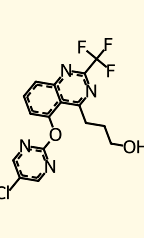 OCCCc1nc(C(F)(F)F)nc2cccc(Oc3ncc(Cl)cn3)c12